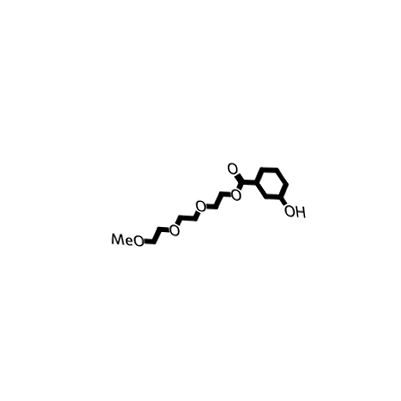 COCCOCCOCCOC(=O)C1CCCC(O)C1